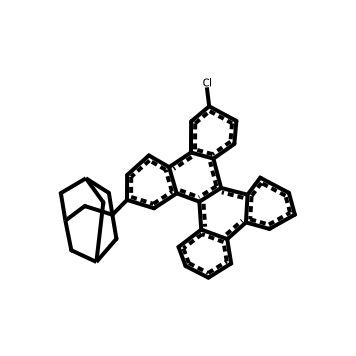 Clc1ccc2c(c1)c1ccc(C34CC5CC(CC(C5)C3)C4)cc1c1c3ccccc3c3ccccc3c21